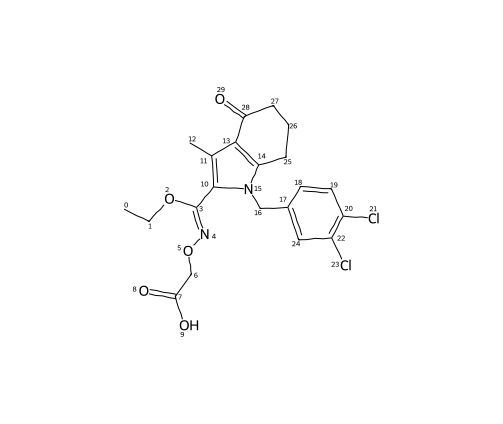 CCOC(=NOCC(=O)O)c1c(C)c2c(n1Cc1ccc(Cl)c(Cl)c1)CCCC2=O